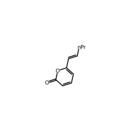 CCCC=Cc1cccc(=O)o1